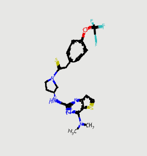 CN(C)c1nc(N[C@H]2CCN(C(=S)Cc3ccc(OC(F)(F)F)cc3)C2)nc2ccsc12